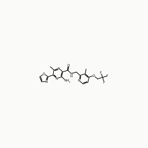 Cc1nc(C(=O)NCc2nccc(OCC(F)(F)F)c2C)c(N)nc1-c1ncco1